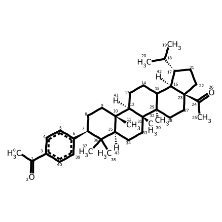 CC(=O)c1ccc([C@H]2CC[C@]3(C)[C@H]4CCC5[C@H]6[C@H](C(C)C)CC[C@]6(C(C)=O)CC[C@@]5(C)[C@]4(C)CC[C@H]3C2(C)C)cc1